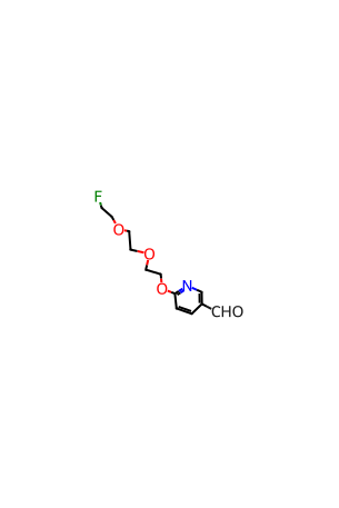 O=Cc1ccc(OCCOCCOCCF)nc1